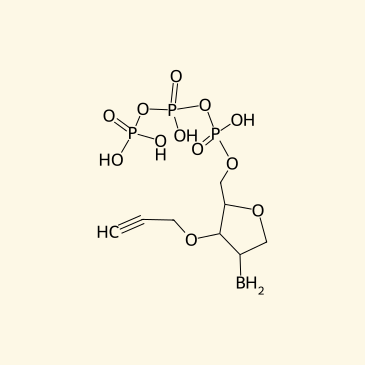 BC1COC(COP(=O)(O)OP(=O)(O)OP(=O)(O)O)C1OCC#C